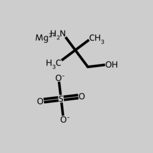 CC(C)(N)CO.O=S(=O)([O-])[O-].[Mg+2]